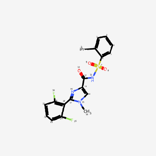 CC(C)c1ccccc1S(=O)(=O)NC(=O)c1cn(C)c(-c2c(F)cccc2F)n1